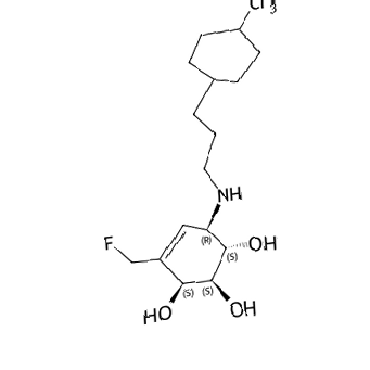 O[C@@H]1[C@@H](O)[C@@H](O)C(CF)=C[C@H]1NCCCC1CCC(C(F)(F)F)CC1